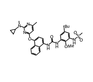 COc1c(NC(=O)Nc2ccc(Oc3cc(C)nc(N(C)C4CC4)n3)c3ccccc23)cc(C(C)(C)C)cc1NS(C)(=O)=O